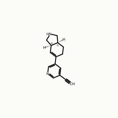 C#Cc1cncc(C2=C[C@H]3CNC[C@H]3CC2)c1